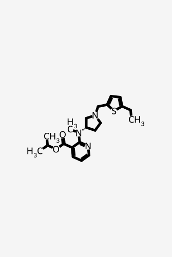 CCc1ccc(CN2CC[C@H](N(C)c3ncccc3C(=O)OC(C)C)C2)s1